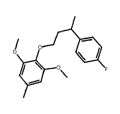 COc1cc(C)cc(OC)c1OCCC(C)c1ccc(F)cc1